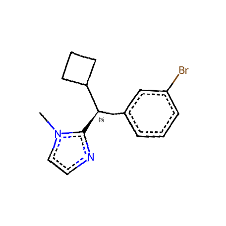 Cn1ccnc1[C@H](c1cccc(Br)c1)C1CCC1